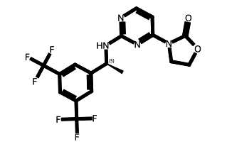 C[C@H](Nc1nccc(N2CCOC2=O)n1)c1cc(C(F)(F)F)cc(C(F)(F)F)c1